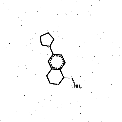 NC[C@@H]1CCCc2cc(N3CCCC3)ccc21